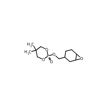 CC1(C)COP(=O)(OCC2CCC3OC3C2)OC1